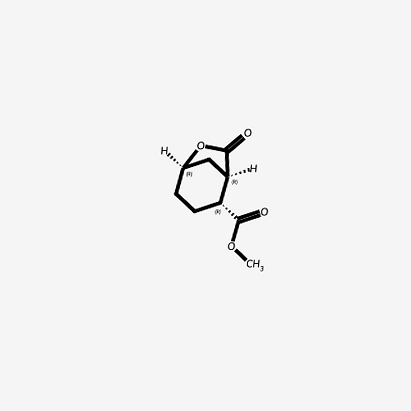 COC(=O)[C@@H]1CC[C@@H]2C[C@H]1C(=O)O2